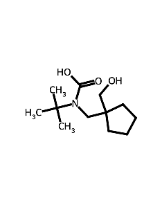 CC(C)(C)N(CC1(CO)CCCC1)C(=O)O